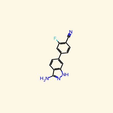 N#Cc1ccc(-c2ccc3c(N)n[nH]c3c2)cc1F